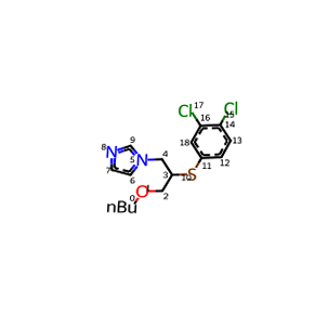 CCCCOCC(Cn1ccnc1)Sc1ccc(Cl)c(Cl)c1